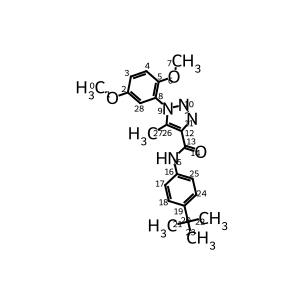 COc1ccc(OC)c(-n2nnc(C(=O)Nc3ccc(C(C)(C)C)cc3)c2C)c1